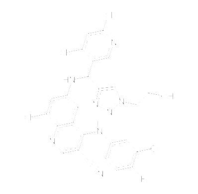 N#Cc1cnc2c(Cl)cc(NC(c3cn(CCO)nn3)c3cnc(Cl)cc3Cl)cc2c1Nc1ccc(F)c(Cl)c1